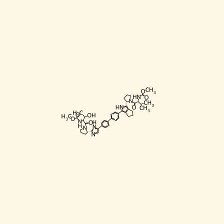 COC(=O)N[C@H](C(=O)N1CCC[C@H]1c1[nH]c(-c2ccc(-c3ccc(-c4cnc([C@@H]5CCCN5C(=O)[C@@H](NC(=O)OC)[C@@H](C)O)[nH]4)cc3)cc2)c2c1CCC2)C(C)C